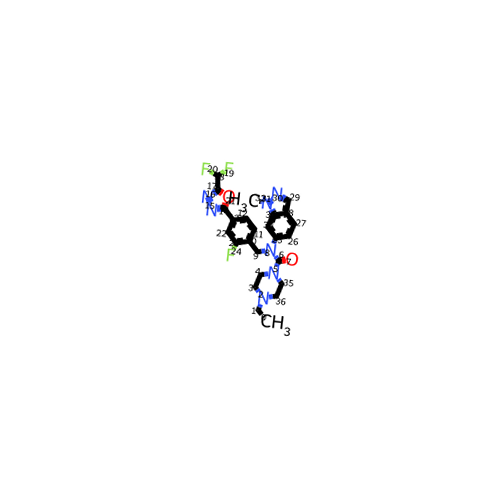 CCN1CCN(C(=O)N(Cc2ccc(-c3nnc(C(F)F)o3)cc2F)c2ccc3cnn(C)c3c2)CC1